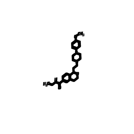 CCNC(=O)c1ccc2c(c1)CCOC2CCN1CCN(c2ccc(OC)cc2)CC1